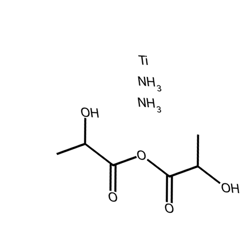 CC(O)C(=O)OC(=O)C(C)O.N.N.[Ti]